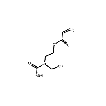 C=CC(=O)OCCN(CO)C(=O)NC